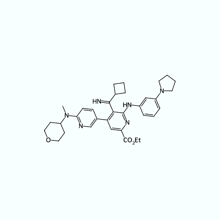 CCOC(=O)c1cc(-c2ccc(N(C)C3CCOCC3)nc2)c(C(=N)C2CCC2)c(Nc2cccc(N3CCCC3)c2)n1